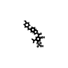 CC(C)c1cc(C(=O)N2Cc3ccc(CN4CCN(C)CC4)cc3C2)c(O)cc1OS(=O)(=O)O